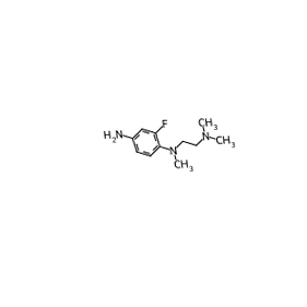 CN(C)CCN(C)c1ccc(N)cc1F